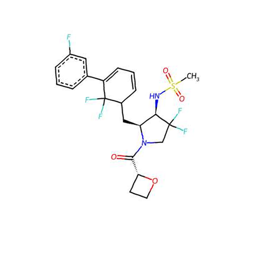 CS(=O)(=O)N[C@@H]1[C@H](CC2C=CC=C(c3cccc(F)c3)C2(F)F)N(C(=O)[C@H]2CCO2)CC1(F)F